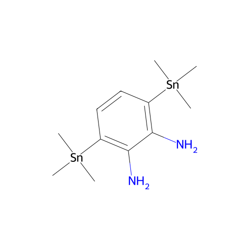 [CH3][Sn]([CH3])([CH3])[c]1cc[c]([Sn]([CH3])([CH3])[CH3])c(N)c1N